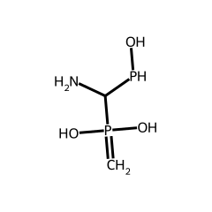 C=P(O)(O)C(N)PO